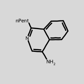 CCCCCc1ncc(N)c2ccccc12